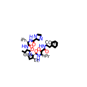 CCCC(NC(=O)[C@@H]1[C@@H](CC)CCN1C(=O)[C@@H](NC(=O)[C@@H](NC(=O)c1cnccn1)C(C)C)[C@@H](C)OC)C(=O)C(=O)N[C@@H](Cc1ccccc1)C(=O)O